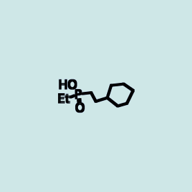 CCP(=O)(O)CCC1CCCCC1